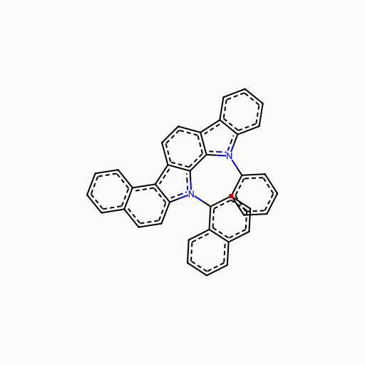 c1ccc(-n2c3ccccc3c3ccc4c5c6ccccc6ccc5n(-c5cccc6ccccc56)c4c32)cc1